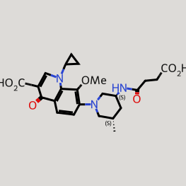 COc1c(N2C[C@@H](C)C[C@H](NC(=O)CCC(=O)O)C2)ccc2c(=O)c(C(=O)O)cn(C3CC3)c12